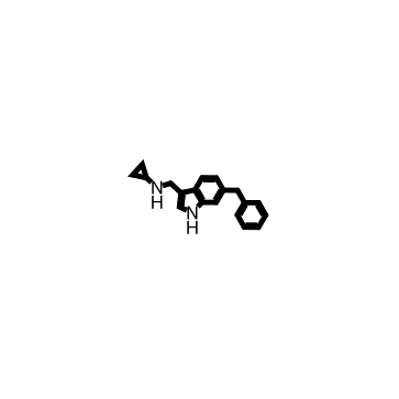 c1ccc(Cc2ccc3c(CNC4CC4)c[nH]c3c2)cc1